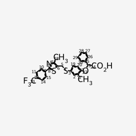 Cc1cc(SCc2sc(-c3ccc(C(F)(F)F)cc3)nc2C)ccc1OC(C(=O)O)c1ccccc1